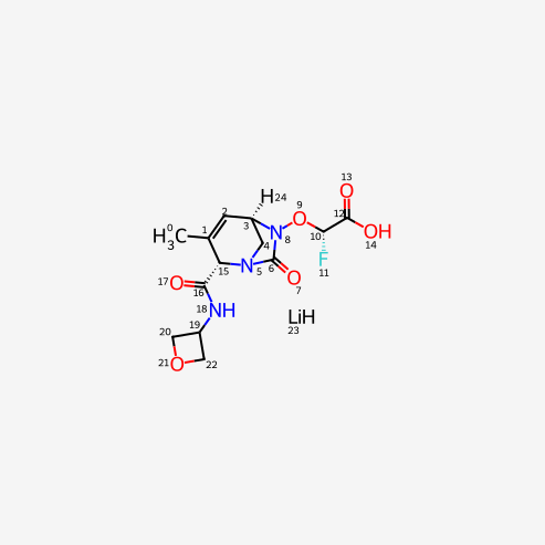 CC1=C[C@@H]2CN(C(=O)N2O[C@@H](F)C(=O)O)[C@@H]1C(=O)NC1COC1.[LiH]